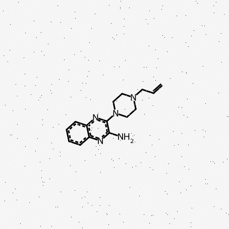 C=CCN1CCN(c2nc3ccccc3nc2N)CC1